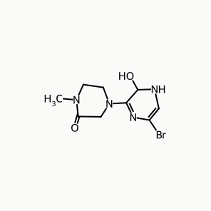 CN1CCN(C2=NC(Br)=CNC2O)CC1=O